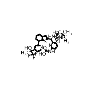 CC(C)(C)NS(=O)(=O)N[C@H](c1cc2cccc(-c3cc([C@@](C)(O)C(F)(F)F)ccn3)c2s1)c1nc(NC(=O)O)ccc1Cl